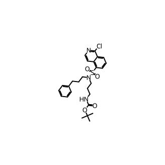 CC(C)(C)OC(=O)NCCCN(CCCc1ccccc1)S(=O)(=O)c1cccc2c(Cl)nccc12